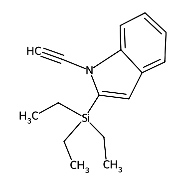 C#Cn1c([Si](CC)(CC)CC)cc2ccccc21